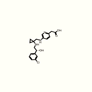 O=C(O)Cc1ccc(NCC2(NC[C@H](O)c3cccc(Cl)c3)CC2)cn1